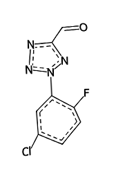 O=Cc1nnn(-c2cc(Cl)ccc2F)n1